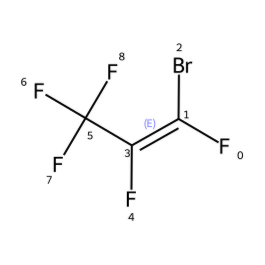 F/C(Br)=C(\F)C(F)(F)F